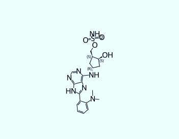 CN(C)c1ccccc1-c1nc2c(N[C@@H]3C[C@@H](COS(N)(=O)=O)[C@@H](O)C3)ncnc2[nH]1